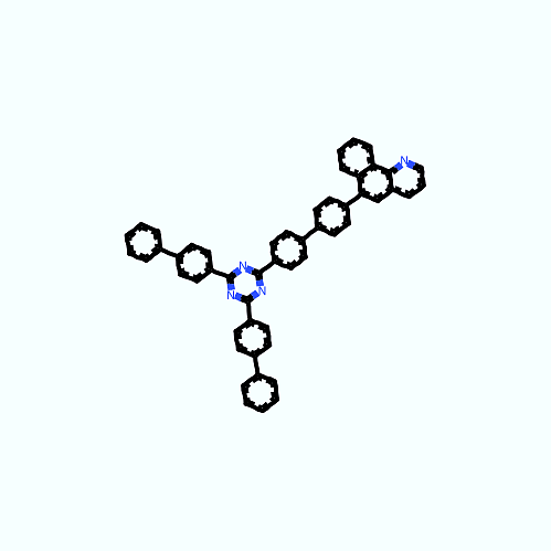 c1ccc(-c2ccc(-c3nc(-c4ccc(-c5ccccc5)cc4)nc(-c4ccc(-c5ccc(-c6cc7cccnc7c7ccccc67)cc5)cc4)n3)cc2)cc1